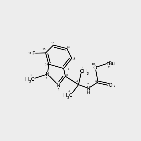 Cn1nc(C(C)(C)NC(=O)OC(C)(C)C)c2cccc(F)c21